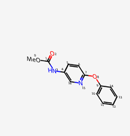 COC(=O)Nc1ccc(Oc2ccccc2)nc1